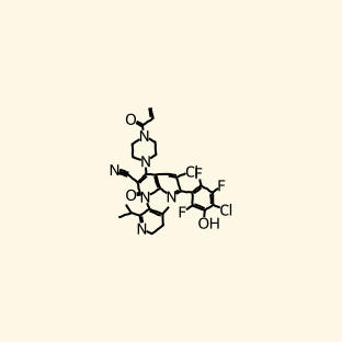 C=CC(=O)N1CCN(c2c(C#N)c(=O)n(C3=C(C)CCN=C3C(C)C)c3nc(-c4c(F)c(O)c(Cl)c(F)c4F)c(Cl)cc23)CC1